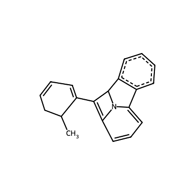 CC1CC=CC=C1C1=C2C=CC=C3c4ccccc4C1N32